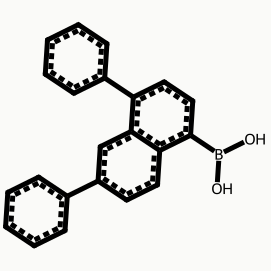 OB(O)c1ccc(-c2ccccc2)c2cc(-c3ccccc3)ccc12